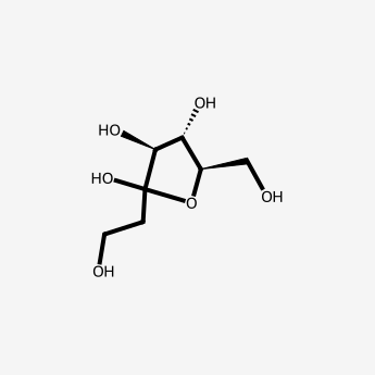 OCCC1(O)O[C@H](CO)[C@@H](O)[C@@H]1O